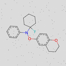 FC1(N(Oc2ccc3c(c2)CCCO3)c2ccccc2)CCCCC1